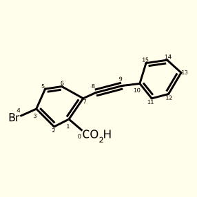 O=C(O)c1cc(Br)ccc1C#Cc1ccccc1